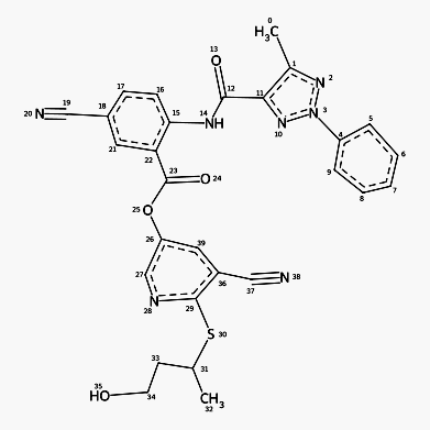 Cc1nn(-c2ccccc2)nc1C(=O)Nc1ccc(C#N)cc1C(=O)Oc1cnc(SC(C)CCO)c(C#N)c1